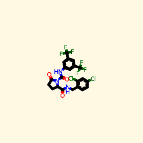 O=C(NCc1ccc(Cl)cc1Cl)C1CCC(=O)N1C(=O)Nc1cc(C(F)(F)F)cc(C(F)(F)F)c1